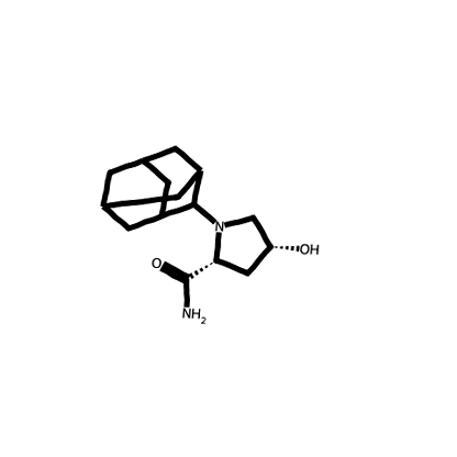 NC(=O)[C@H]1C[C@@H](O)CN1C1C2CC3CC(C2)CC1C3